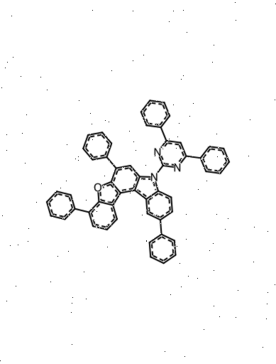 c1ccc(-c2ccc3c(c2)c2c4c(oc5c(-c6ccccc6)cccc54)c(-c4ccccc4)cc2n3-c2nc(-c3ccccc3)cc(-c3ccccc3)n2)cc1